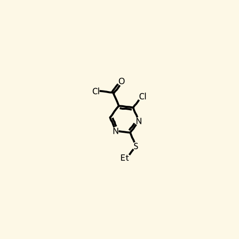 CCSc1ncc(C(=O)Cl)c(Cl)n1